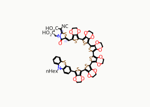 [C-]#[N+]/C(C(=O)O)=c1\s/c(=C\c2sc(-c3sc(-c4sc(-c5sc(-c6sc(-c7sc(-c8ccc9c(c8)Sc8ccccc8N9CCCCCC)c8c7OCCO8)c7c6OCCO7)c6c5OCCO6)c5c4OCCO5)c4c3OCCO4)c3c2OCCO3)c(=O)n1CC(=O)O